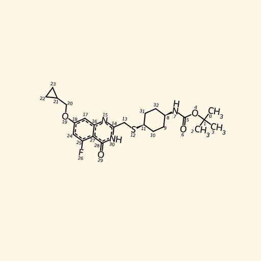 CC(C)(C)OC(=O)N[C@H]1CC[C@@H](SCc2nc3cc(OCC4CC4)cc(F)c3c(=O)[nH]2)CC1